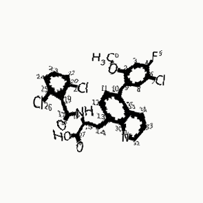 COc1cc(F)c(Cl)cc1-c1ccc(CC(NC(=O)c2c(Cl)cccc2Cl)C(=O)O)c2ncccc12